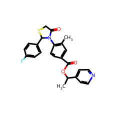 Cc1cc(C(=O)OC(C)c2ccncc2)ccc1N1C(=O)CSC1c1ccc(F)cc1